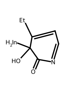 CCC1=CC=NC(=O)[C]1(O)[InH2]